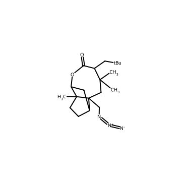 CC(C)(C)CC1C(=O)OC2CC3CCC2(C)C3(CN=[N+]=[N-])CC1(C)C